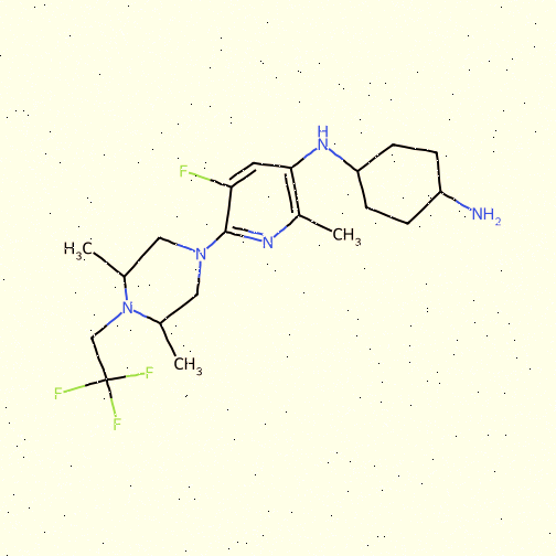 Cc1nc(N2CC(C)N(CC(F)(F)F)C(C)C2)c(F)cc1NC1CCC(N)CC1